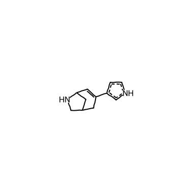 C1=C(c2cc[nH]c2)CC2CNC1C2